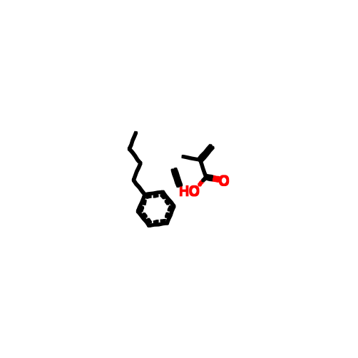 C=C.C=C(C)C(=O)O.CCCCc1ccccc1